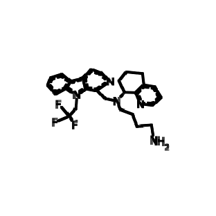 NCCCCN(Cc1nccc2c3ccccc3n(CC(F)(F)F)c12)[C@H]1CCCc2cccnc21